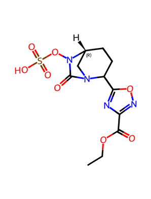 CCOC(=O)c1noc(C2CC[C@@H]3CN2C(=O)N3OS(=O)(=O)O)n1